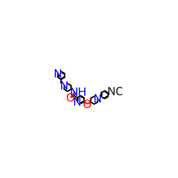 [C-]#[N+]c1ccc(N2CCC(Oc3ccc(C(=O)NC4CCN(Cc5cccnc5)CC4)nc3)CC2)cc1